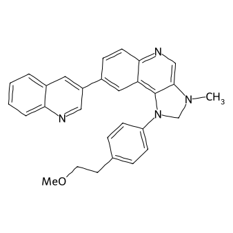 COCCc1ccc(N2CN(C)c3cnc4ccc(-c5cnc6ccccc6c5)cc4c32)cc1